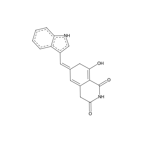 O=C1CC2=CC(=Cc3c[nH]c4ccccc34)CC(O)=C2C(=O)N1